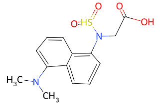 CN(C)c1cccc2c(N(CC(=O)O)[SH](=O)=O)cccc12